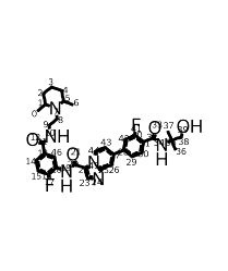 CC1CCCC(C)N1CCNC(=O)c1ccc(F)c(NC(=O)c2cnc3cc(-c4ccc(C(=O)NC(C)(C)CO)c(F)c4)ccn23)c1